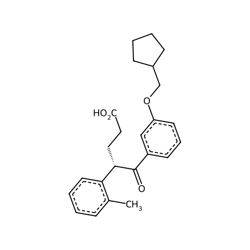 Cc1ccccc1[C@H](CCC(=O)O)C(=O)c1cccc(OCC2CCCC2)c1